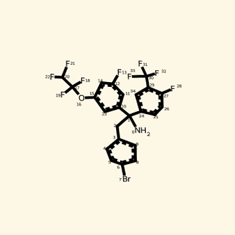 NC(Cc1ccc(Br)cc1)(c1cc(F)cc(OC(F)(F)C(F)F)c1)c1ccc(F)c(C(F)(F)F)c1